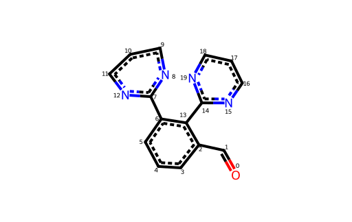 O=Cc1cccc(-c2ncccn2)c1-c1ncccn1